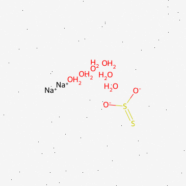 O.O.O.O.O.O.[Na+].[Na+].[O-]S([O-])=S